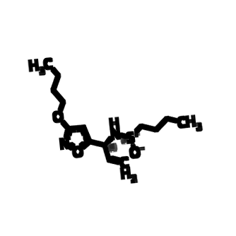 C=C[C@H](N[S@@+]([O-])CCCC)c1cc(OCCCC)no1